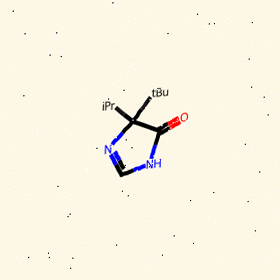 CC(C)C1(C(C)(C)C)N=CNC1=O